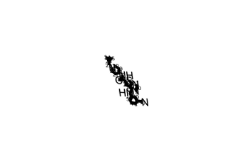 N#Cc1cccc(Nc2ncnc3sc(C(=O)NC4CCN(CC5CC5)CC4)cc23)c1